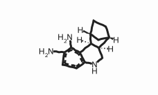 Nc1ccc2c(c1N)[C@H]1[C@@H]3CC[C@@H](C3)[C@H]1CN2